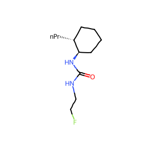 CCC[C@@H]1CCCC[C@H]1NC(=O)NCCF